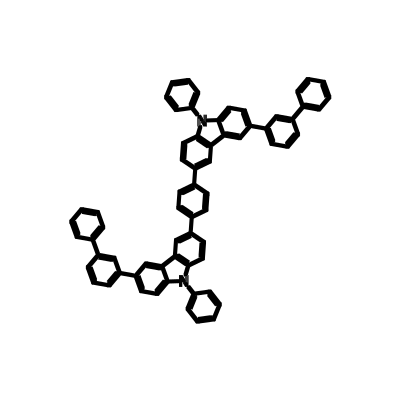 c1ccc(-c2cccc(-c3ccc4c(c3)c3cc(-c5ccc(-c6ccc7c(c6)c6cc(-c8cccc(-c9ccccc9)c8)ccc6n7-c6ccccc6)cc5)ccc3n4-c3ccccc3)c2)cc1